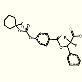 CC1(OC(=O)Oc2ccc(C(=O)OC(c3ccccc3)C(F)(F)C(=O)O)cc2)CCCCC1